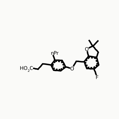 CCCc1cc(OCc2cc(F)cc3c2OC(C)(C)C3)ccc1CCC(=O)O